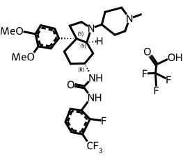 COc1ccc([C@@]23CC[C@@H](NC(=O)Nc4cccc(C(F)(F)F)c4F)C[C@@H]2N(C2CCN(C)CC2)CC3)cc1OC.O=C(O)C(F)(F)F